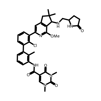 COc1nc(-c2cccc(-c3cccc(NC(=O)c4cn(C)c(=O)n(C)c4=O)c3C)c2Cl)cc2c1C(NCC1CCC(=O)N1)C(C)(C)C2